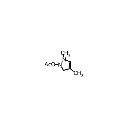 CC(=O)ON1CC(C)=CN1C